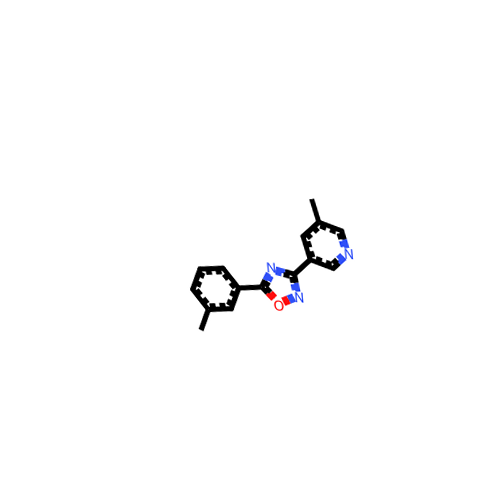 Cc1cncc(-c2noc(-c3cccc(C)c3)n2)c1